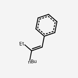 CCCCC(=Cc1ccccc1)CC